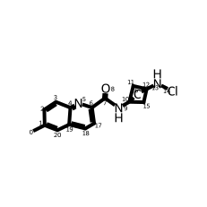 Cc1ccc2nc(C(=O)NC34CC(NCl)(C3)C4)ccc2c1